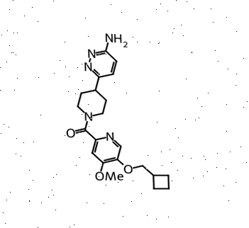 COc1cc(C(=O)N2CCC(c3ccc(N)nn3)CC2)ncc1OCC1CCC1